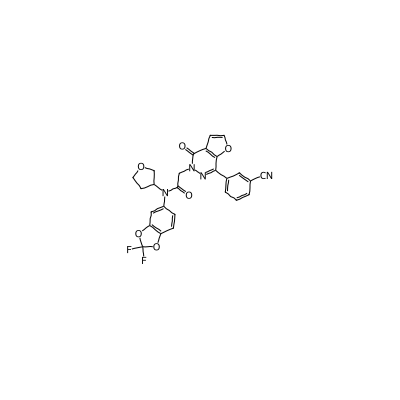 N#Cc1cccc(-c2nn(CC(=O)N(c3ccc4c(c3)OC(F)(F)O4)C3CCOC3)c(=O)c3ccoc23)c1